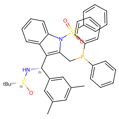 Cc1cc(C)cc([C@H](N[S@+]([O-])C(C)(C)C)c2c(CP(c3ccccc3)c3ccccc3)n(S(=O)(=O)c3ccccc3)c3ccccc23)c1